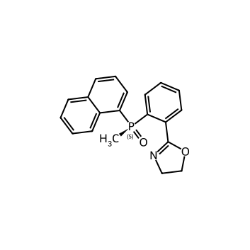 C[P@](=O)(c1ccccc1C1=NCCO1)c1cccc2ccccc12